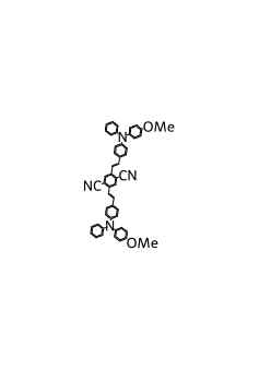 COc1ccc(N(c2ccccc2)c2ccc(C=Cc3cc(C#N)c(C=Cc4ccc(N(c5ccccc5)c5ccc(OC)cc5)cc4)cc3C#N)cc2)cc1